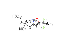 N#CC(C#N)(CCC(F)(F)F)Cc1cc(C(F)(F)C(F)(F)F)on1